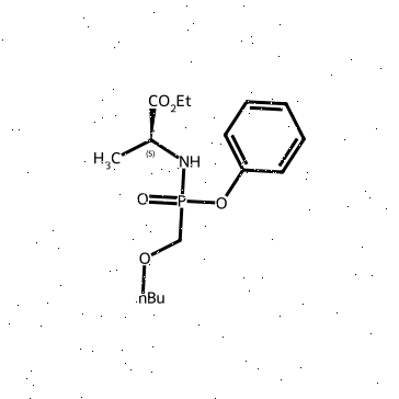 CCCCOCP(=O)(N[C@@H](C)C(=O)OCC)Oc1ccccc1